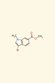 COC(=O)c1ccc2c(Br)cn(C)c2c1